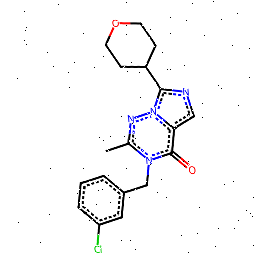 Cc1nn2c(C3CCOCC3)ncc2c(=O)n1Cc1cccc(Cl)c1